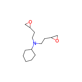 C1CCC(N(CCC2CO2)CCC2CO2)CC1